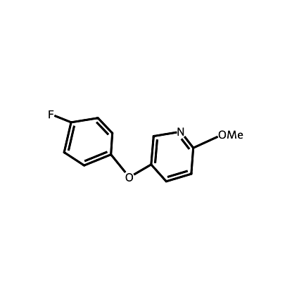 COc1ccc(Oc2ccc(F)cc2)cn1